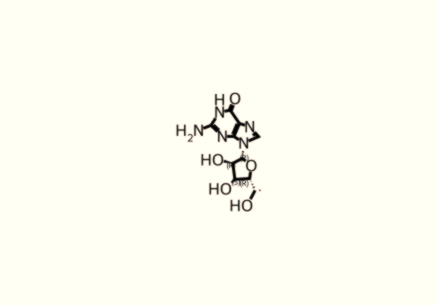 Nc1nc2c(ncn2[C@@H]2O[C@H]([CH]O)[C@@H](O)[C@H]2O)c(=O)[nH]1